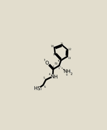 N[C@H](C(=O)NCCS)c1ccccc1